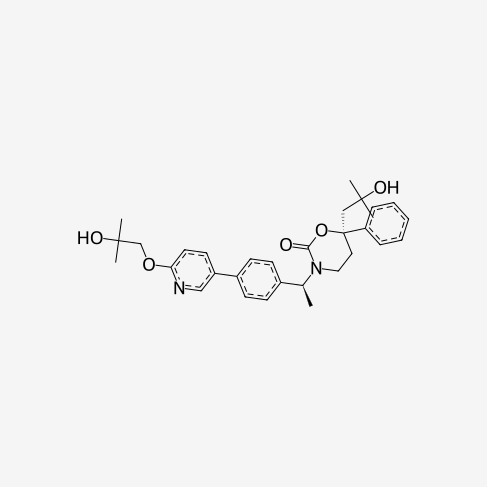 C[C@@H](c1ccc(-c2ccc(OCC(C)(C)O)nc2)cc1)N1CC[C@](CC(C)(C)O)(c2ccccc2)OC1=O